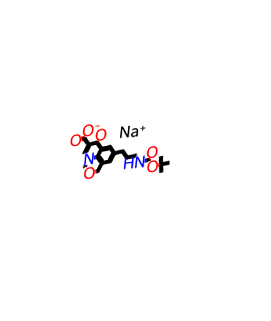 CC(C)(C)OC(=O)NCCCc1cc2c3c(c1)c(=O)c(C(=O)[O-])cn3COC2.[Na+]